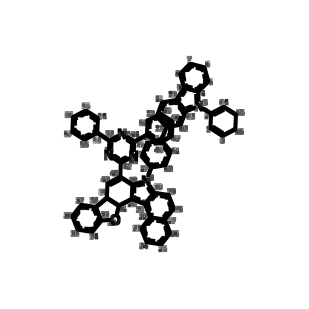 C1=CC(n2c3ccccc3c3ccc(-c4ccc(-n5c6c(c7c8ccccc8ccc75)C5Oc7ccccc7C5C=C6c5nc(-c6ccccc6)nc(-c6ccccc6)n5)cc4)cc32)=CCC1